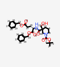 CC(C)(C)OC(=O)N1CCCC(CO)(C(=O)N[C@@H](CCC(=O)OCc2ccccc2)C(=O)OCc2ccccc2)C1